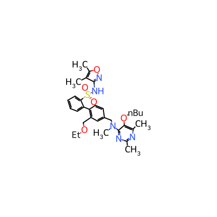 CCCCOc1c(C)nc(C)nc1N(C)Cc1ccc(-c2ccccc2S(=O)(=O)Nc2noc(C)c2C)c(COCC)c1